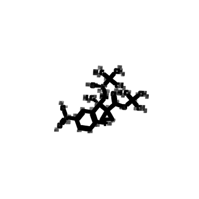 CC(C)(C)OC(=O)C1([C@](C)(N[S@@+]([O-])C(C)(C)C)c2cc([N+](=O)[O-])ccc2F)CC1